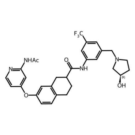 CC(=O)Nc1cc(Oc2ccc3c(c2)CC(C(=O)Nc2cc(CN4CC[C@@H](O)C4)cc(C(F)(F)F)c2)CC3)ccn1